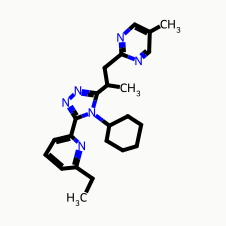 CCc1cccc(-c2nnc(C(C)Cc3ncc(C)cn3)n2C2CCCCC2)n1